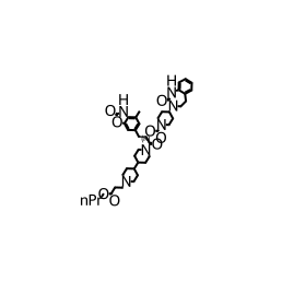 CCCOC(=O)CCN1CCC(C2CCN(C(=O)[C@@H](Cc3cc(C)c4[nH]c(=O)oc4c3)OC(=O)N3CCC(N4CCc5ccccc5NC4=O)CC3)CC2)CC1